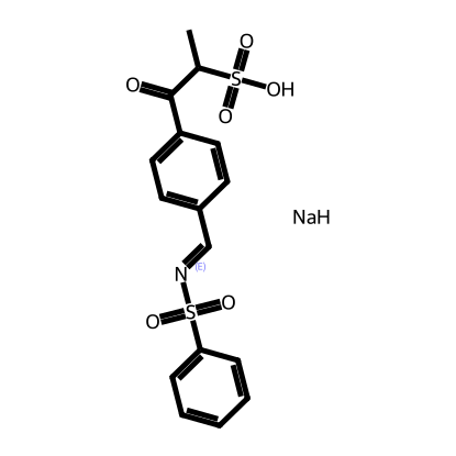 CC(C(=O)c1ccc(/C=N/S(=O)(=O)c2ccccc2)cc1)S(=O)(=O)O.[NaH]